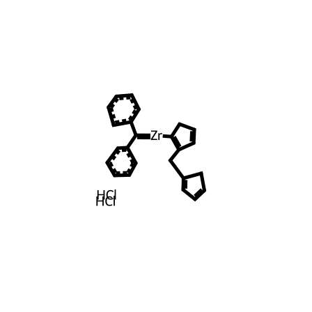 C1=CCC(CC2=[C]([Zr]=[C](c3ccccc3)c3ccccc3)CC=C2)=C1.Cl.Cl